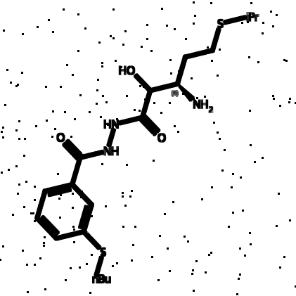 CCCCSc1cccc(C(=O)NNC(=O)C(O)[C@H](N)CCSC(C)C)c1